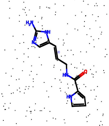 Nc1ncc(/C=C/CNC(=O)c2ccc[nH]2)[nH]1